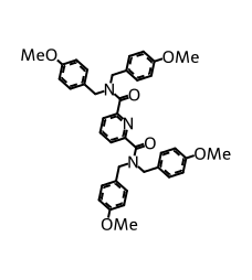 COc1ccc(CN(Cc2ccc(OC)cc2)C(=O)c2cccc(C(=O)N(Cc3ccc(OC)cc3)Cc3ccc(OC)cc3)n2)cc1